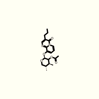 CCCc1cnc2c(O[C@@H]3OC[C@@H](C)[C@H](C)C3OC(C)=O)cccn2c1=O